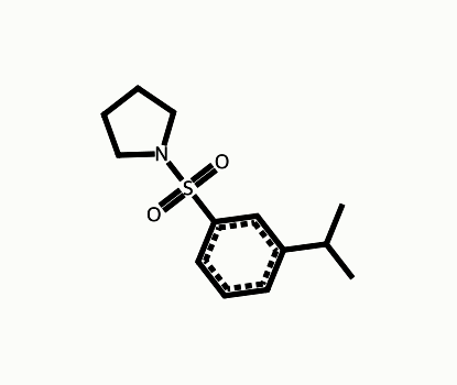 CC(C)c1cccc(S(=O)(=O)N2CCCC2)c1